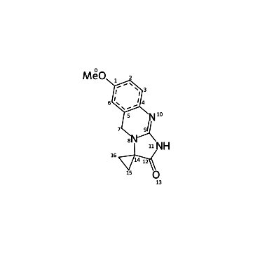 COc1ccc2c(c1)CN1C(=N2)NC(=O)C12CC2